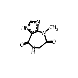 CN1C(=O)CNC(=O)c2[nH]cnc21